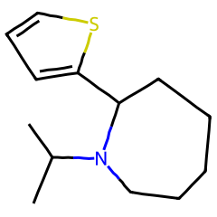 CC(C)N1CCCCCC1c1cccs1